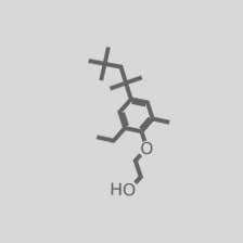 CCc1cc(C(C)(C)CC(C)(C)C)cc(C)c1OCCO